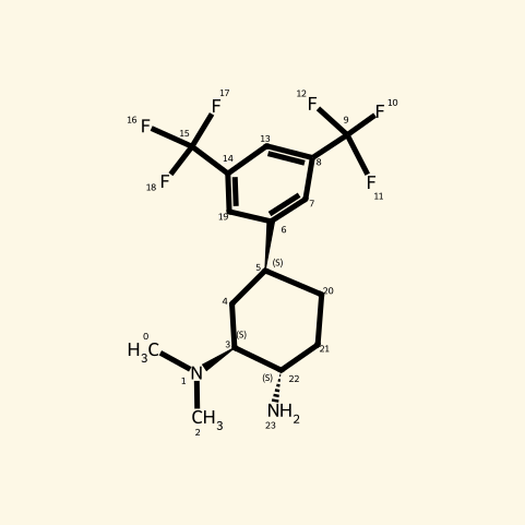 CN(C)[C@H]1C[C@@H](c2cc(C(F)(F)F)cc(C(F)(F)F)c2)CC[C@@H]1N